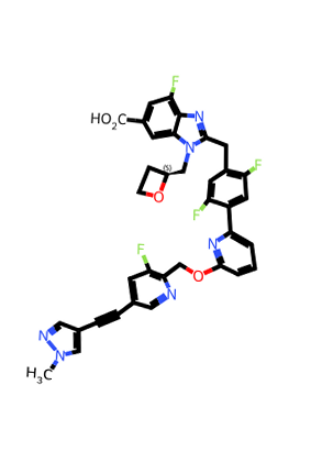 Cn1cc(C#Cc2cnc(COc3cccc(-c4cc(F)c(Cc5nc6c(F)cc(C(=O)O)cc6n5C[C@@H]5CCO5)cc4F)n3)c(F)c2)cn1